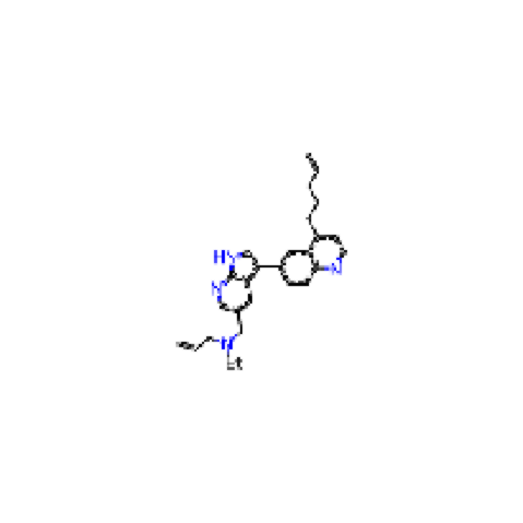 C=CCCCc1ccnc2ccc(-c3c[nH]c4ncc(CN(CC)CC=C)cc34)cc12